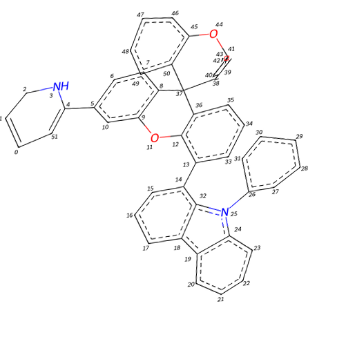 C1=CCNC(c2ccc3c(c2)Oc2c(-c4cccc5c6ccccc6n(-c6ccccc6)c45)cccc2C32c3ccccc3Oc3ccccc32)=C1